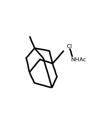 CC(=O)NCl.CC12CC3CC(C1)CC(C)(C3)C2